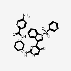 Nc1ccc(C(=O)N[C@H]2CCC[C@@H](Nc3ncc(Cl)c(-c4cn(S(=O)(=O)c5ccccc5)c5ccccc45)n3)C2)nc1